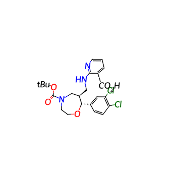 CC(C)(C)OC(=O)N1CCO[C@@H](c2ccc(Cl)c(Cl)c2)[C@H](CNc2ncccc2C(=O)O)C1